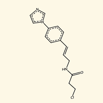 O=C(CCCl)NCC=Cc1ccc(-n2ccnc2)cc1